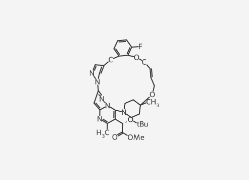 COC(=O)[C@@H](OC(C)(C)C)c1c(C)nc2cc3nn2c1N1CCC(C)(CC1)OC/C=C/COc1c(F)cccc1Cc1cnn-3c1